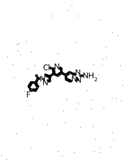 CC(c1ccc(F)cc1)n1cc(-c2cc(-c3ccn4nc(N)nc4c3)cnc2Cl)cn1